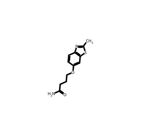 Cc1nc2ccc(OCCCC(N)=O)cc2s1